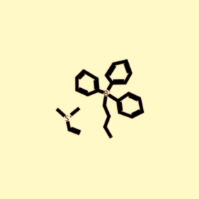 C=C[S+](C)C.CCCC[B-](c1ccccc1)(c1ccccc1)c1ccccc1